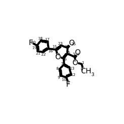 CCOC(=O)c1c(-c2ccc(F)cc2)oc(-c2ccc(F)cc2)cc1=O